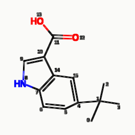 CC(C)(C)c1ccc2[nH]cc(C(=O)O)c2c1